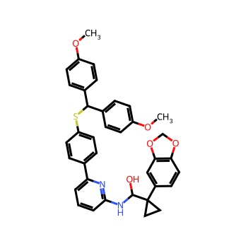 COc1ccc(C(Sc2ccc(-c3cccc(NC(O)C4(c5ccc6c(c5)OCO6)CC4)n3)cc2)c2ccc(OC)cc2)cc1